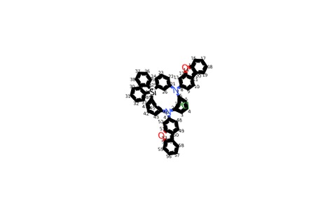 Clc1c2cccc1N(c1ccc3c(c1)oc1ccccc13)c1cccc(c1)[Si](c1ccccc1)(c1ccccc1)c1cccc(c1)N2c1ccc2c(c1)oc1ccccc12